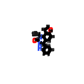 CC(C)(C)N1C(=O)NC(c2ccccc2)C2C=CC3=C(CCO3)C21